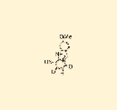 COc1ccc(Cn2c(N)c(N=O)c(=O)[nH]c2=O)cc1